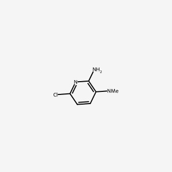 CNc1ccc(Cl)nc1N